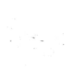 CCCCC1=Cc2c(-c3ccc(C)cc3)ccc(C)c2[CH]1[Zr+2]1([CH]2C(CCCC)=Cc3c(-c4ccc(C)cc4)ccc(C)c32)[CH2][CH2]1.[Cl-].[Cl-]